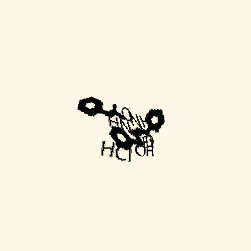 CCC(O)(c1ccccc1)C(NC(=O)C(C)=Cc1ccccc1)C(N)C(=O)c1ccccc1.Cl